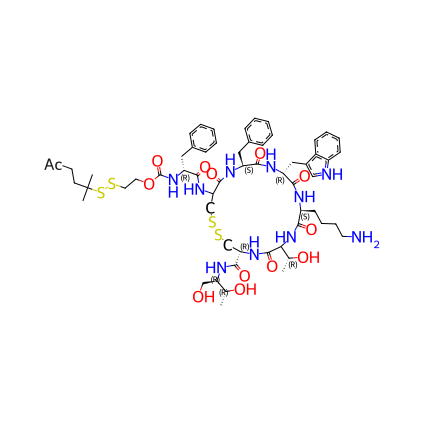 CC(=O)CCC(C)(C)SSCCOC(=O)N[C@H](Cc1ccccc1)C(=O)NC1CSSC[C@@H](C(=O)N[C@H](CO)[C@@H](C)O)NC(=O)C([C@@H](C)O)NC(=O)[C@H](CCCCN)NC(=O)[C@@H](Cc2c[nH]c3ccccc23)NC(=O)[C@H](Cc2ccccc2)NC1=O